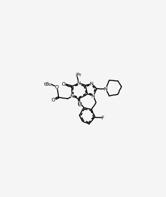 CC(C)n1c(=O)n(CC(=O)OC(C)(C)C)c(=O)c2c1nc(N1CCCCC1)n2Cc1c(F)cccc1Cl